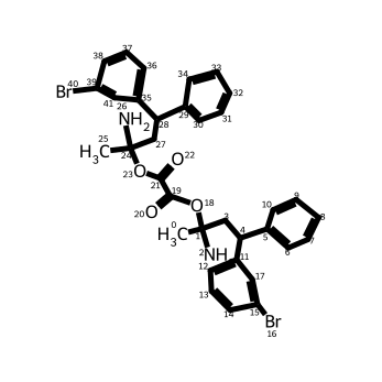 CC(N)(CC(c1ccccc1)c1cccc(Br)c1)OC(=O)C(=O)OC(C)(N)CC(c1ccccc1)c1cccc(Br)c1